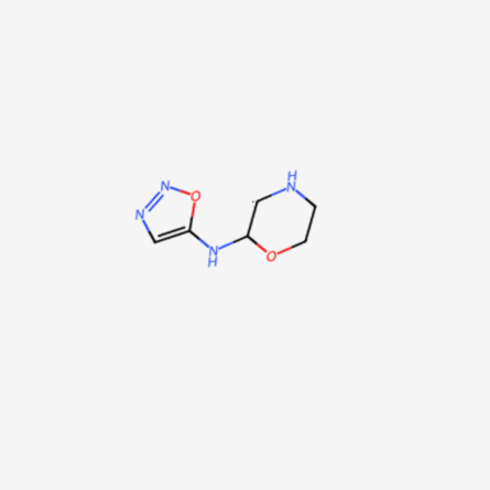 [CH]1NCCOC1Nc1cnno1